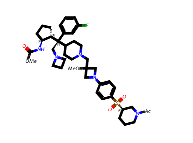 COC(=O)N[C@H]1CCC[C@@H]1[C@](CN1CCC1)(c1cccc(F)c1)C1CCN(CC2(OC)CN(c3ccc(S(=O)(=O)[C@@H]4CCCN(C(C)=O)C4)cc3)C2)CC1